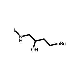 CCCCCCC(O)CNI